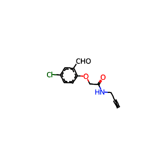 C#CCNC(=O)COc1ccc(Cl)cc1C=O